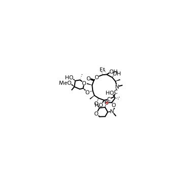 CC[C@H]1OC(=O)[C@H](C)[C@@H](O[C@H]2C[C@@](C)(OC)[C@@H](O)[C@H](C)O2)[C@H](C)[C@@H](O[C@@H]2OCC[C@H](N(C)C)[C@H]2OC(=O)[C@@H](C)O)[C@](C)(O)C[C@@H](C)CN(C)[C@H](C)[C@@H](O)[C@]1(C)O